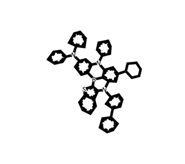 c1ccc(-c2cccc(N3c4cc(C5CCCCC5)cc5c4B(c4ccc(N(c6ccccc6)c6ccccc6)cc4N5c4ccccc4)c4sc5ccccc5c43)c2)cc1